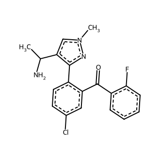 CC(N)c1cn(C)nc1-c1ccc(Cl)cc1C(=O)c1ccccc1F